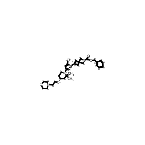 Cc1cc(N2CC[C@@H](OCCN3CCOCC3)CC2(C)C)nn1C1CC2(C1)CN(C(=O)OCc1ccccc1)C2